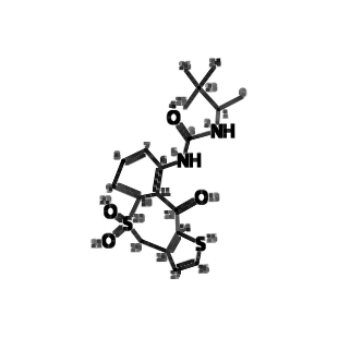 CC(NC(=O)Nc1cccc2c1C(=O)c1sccc1CS2(=O)=O)C(C)(C)C